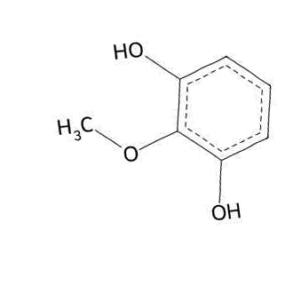 COc1c(O)cccc1O